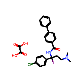 CN(C)CCC(I)(NC(=O)c1ccc(-c2ccccc2)cc1)c1ccc(Cl)cc1.O=C(O)C(=O)O